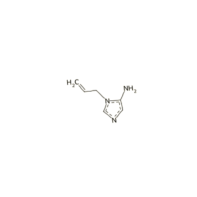 C=CCn1cncc1N